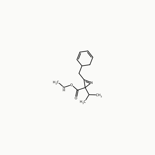 CNOC(=O)C1(C(C)C)N=C1CC1C=CC=CC1